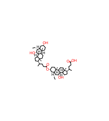 CC[C@H]1[C@@H](O)[C@@H]2[C@H](CC[C@]3(C)[C@@H](C(C)CCC(=O)O[C@@H]4CC[C@@]5(C)[C@@H](C4)[C@@H](CC)[C@@H](O)[C@@H]4[C@@H]5CC[C@]5(C)[C@@H](C(C)CCC(=O)O)CC[C@@H]45)CC[C@@H]23)[C@@]2(C)CC[C@@H](O)C[C@@H]12